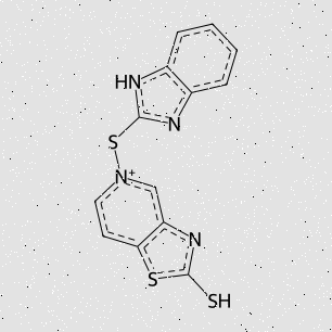 Sc1nc2c[n+](Sc3nc4ccccc4[nH]3)ccc2s1